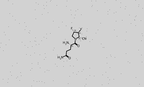 N#C[C@H]1[C@H](F)[C@@H](F)CN1C(=O)[C@@H](N)CCC(N)=O